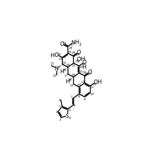 Cc1ccsc1/C=C/c1ccc(O)c2c1C[C@H]1C[C@H]3[C@H](N(C)C)C(O)=C(C(N)=O)C(=O)[C@@]3(O)C(O)=C1C2=O